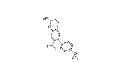 CCCC1CCc2cc(-c3ccc(OC(F)(F)F)cc3)c(C(F)F)cc2O1